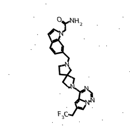 NC(=O)Cn1ccc2ccc(CN3CCC4(CCN(c5ncnn6cc(CC(F)(F)F)cc56)C4)C3)cc21